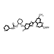 COc1cnc2c(-c3nc4cc(F)c(O[C@@H]5CCCC[C@@H]5OC(=O)Nc5cccnc5)cc4s3)cc(C)cc2n1